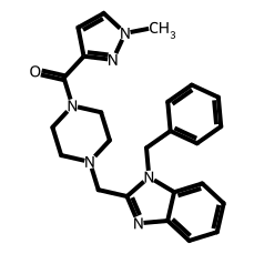 Cn1ccc(C(=O)N2CCN(Cc3nc4ccccc4n3Cc3ccccc3)CC2)n1